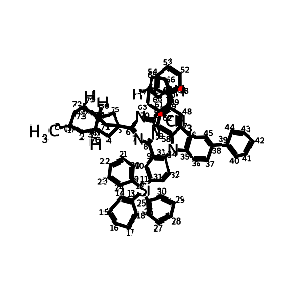 C[C@@H]1C[C@@H]2CC3(c4nc(-c5cc([Si](c6ccccc6)(c6ccccc6)c6ccccc6)ccc5-n5c6ccc(-c7ccccc7)cc6c6cc(-c7ccccc7)ccc65)nc(C5(C)C[C@@H]6CC[C@@H](C6)C5)n4)C[C@H](C1)[C@@H]2C3